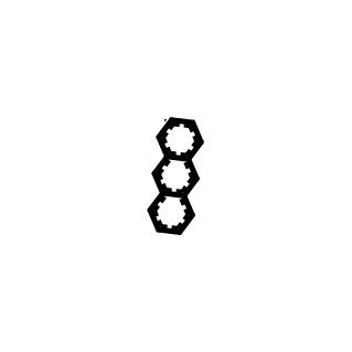 [c]1ccc2cc3ccccc3cc2c1